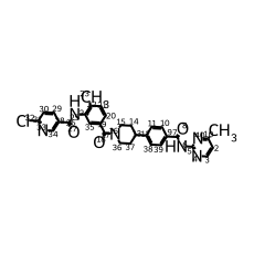 Cc1ccnc(NC(=O)c2ccc(C3CCN(C(=O)c4ccc(C)c(NC(=O)c5ccc(Cl)nc5)c4)CC3)cc2)n1